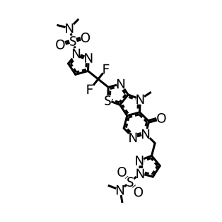 CN(C)S(=O)(=O)n1ccc(Cn2ncc3c4sc(C(F)(F)c5ccn(S(=O)(=O)N(C)C)n5)nc4n(C)c3c2=O)n1